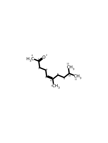 CC(=O)CCC=C(C)CCC(C)C